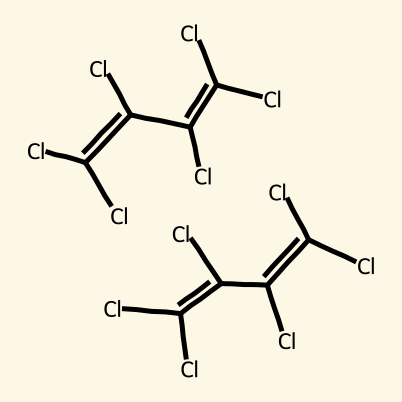 ClC(Cl)=C(Cl)C(Cl)=C(Cl)Cl.ClC(Cl)=C(Cl)C(Cl)=C(Cl)Cl